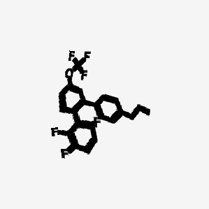 CCCc1ccc(-c2cc(OC(F)(F)F)ccc2-c2c(F)ccc(F)c2F)cc1